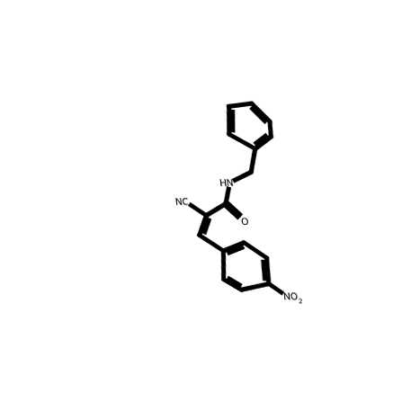 N#CC(=Cc1ccc([N+](=O)[O-])cc1)C(=O)NCc1ccccc1